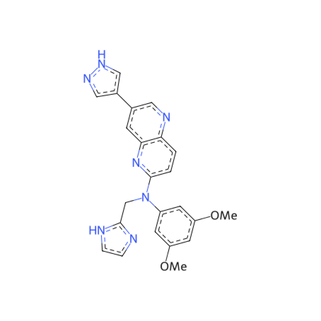 COc1cc(OC)cc(N(Cc2ncc[nH]2)c2ccc3ncc(-c4cn[nH]c4)cc3n2)c1